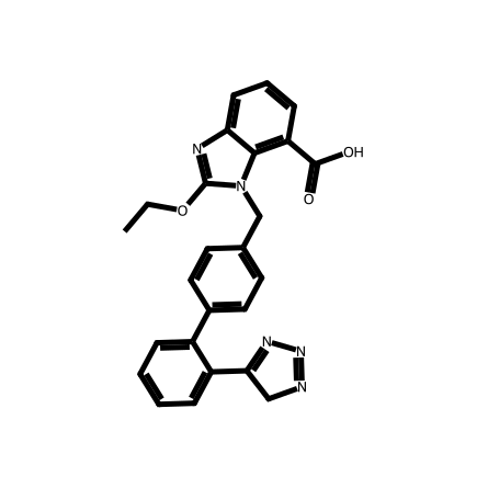 CCOc1nc2cccc(C(=O)O)c2n1Cc1ccc(-c2ccccc2C2=NN=NC2)cc1